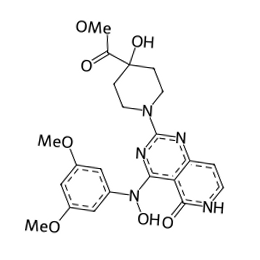 COC(=O)C1(O)CCN(c2nc(N(O)c3cc(OC)cc(OC)c3)c3c(=O)[nH]ccc3n2)CC1